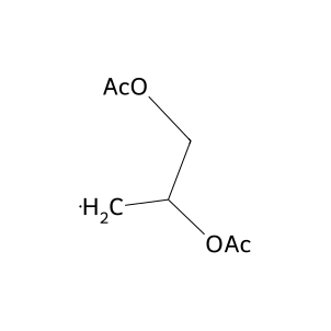 [CH2]C(COC(C)=O)OC(C)=O